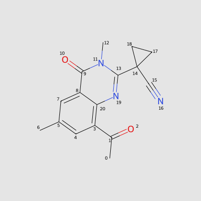 CC(=O)c1cc(C)cc2c(=O)n(C)c(C3(C#N)CC3)nc12